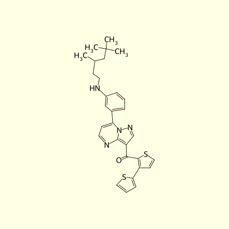 CC(CCNc1cccc(-c2ccnc3c(C(=O)c4sccc4-c4cccs4)cnn23)c1)CC(C)(C)C